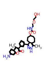 CC1=C2CCCC(OC(=O)NCCOCCO)CCC2C(c2cccc(-c3c(C)c4ccc(N)cc4oc3=O)c2)=NN1